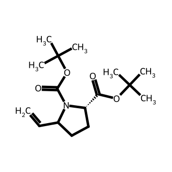 C=CC1CC[C@@H](C(=O)OC(C)(C)C)N1C(=O)OC(C)(C)C